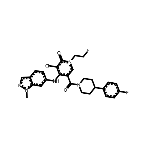 Cn1ncc2ccc(Nc3c(C(=O)N4CCC(c5ccc(F)cc5)CC4)cn(CCF)c(=O)c3Cl)cc21